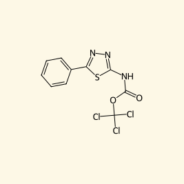 O=C(Nc1nnc(-c2ccccc2)s1)OC(Cl)(Cl)Cl